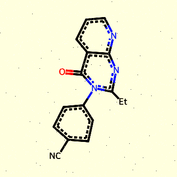 CCc1nc2ncccc2c(=O)n1-c1ccc(C#N)cc1